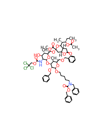 CC[C@@H](OC(C)=O)[C@@H](C)C1O[C@@](OCC2OC(O[C@@H]3[C@H](OCc4ccccc4)C(OCCCCCN(Cc4ccccc4)C(=O)OCc4ccccc4)OC(COCc4ccccc4)[C@@H]3C)[C@@H](NC(=O)OCC(Cl)(Cl)Cl)[C@@H](O)[C@@H]2C)(C(=O)OC)C[C@H]2OC(=O)C[C@@H]12